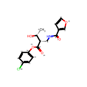 C[C@@H](O)[C@H](CNC(=O)c1ccoc1)C(=O)Oc1ccc(Cl)cc1